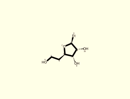 CC[C@@H]1O[C@H](CCO)[C@@H](O)[C@H]1O